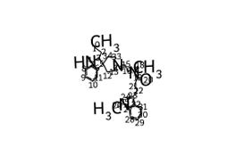 CCCC(=N)C1(c2ccccc2)CCN(CCN(C)C(=O)CCc2cn(C)c3ccccc23)CC1